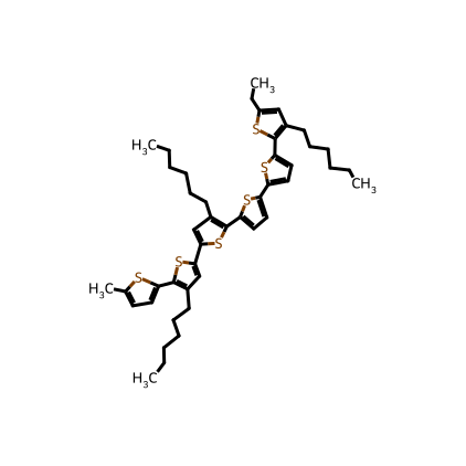 CCCCCCc1cc(CC)sc1-c1ccc(-c2ccc(-c3sc(-c4cc(CCCCCC)c(-c5ccc(C)s5)s4)cc3CCCCCC)s2)s1